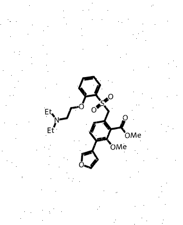 CCN(CC)CCOc1ccccc1S(=O)(=O)Cc1ccc(-c2ccoc2)c(OC)c1C(=O)OC